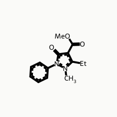 CCc1c(C(=O)OC)c(=O)n(-c2ccccc2)n1C